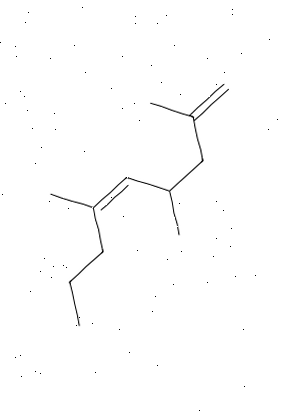 C=C(C)CC(C)C=C(C)CCC